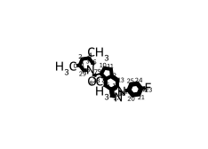 CC1CC(C)CN(C(=O)[C@H]2CCC3=Cc4c(cnn4-c4ccc(F)cc4)C[C@@]32C)C1